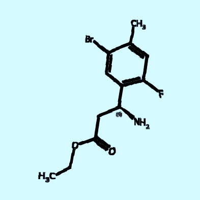 CCOC(=O)C[C@H](N)c1cc(Br)c(C)cc1F